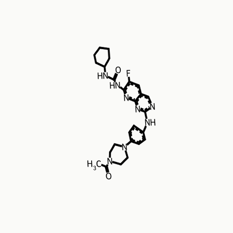 CC(=O)N1CCN(c2ccc(Nc3ncc4cc(F)c(NC(=O)NC5CCCCC5)nc4n3)cc2)CC1